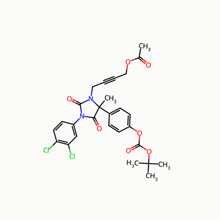 CC(=O)OCC#CCN1C(=O)N(c2ccc(Cl)c(Cl)c2)C(=O)C1(C)c1ccc(OC(=O)OC(C)(C)C)cc1